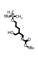 CC(C)(C)OC(=O)/N=C/C(CO)CCCO[Si](C)(C)C(C)(C)C